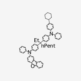 CCCCCC(CC)(c1ccc(N(c2ccccc2)c2ccc(C3CCCCC3)cc2)cc1)c1ccc(N(c2ccccc2)c2ccc3oc4ccccc4c3c2)cc1